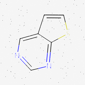 [c]1cc2cncnc2s1